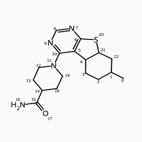 CC1CCC2c3c(ncnc3N3CCC(C(N)=O)CC3)SC2C1